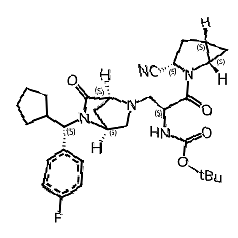 CC(C)(C)OC(=O)N[C@@H](CN1C[C@@H]2C[C@H]1C(=O)N2[C@H](c1ccc(F)cc1)C1CCCC1)C(=O)N1[C@H](C#N)C[C@@H]2C[C@@H]21